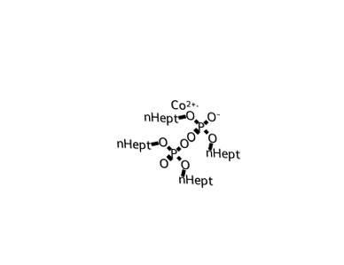 CCCCCCCOP(=O)([O-])OCCCCCCC.CCCCCCCOP(=O)([O-])OCCCCCCC.[Co+2]